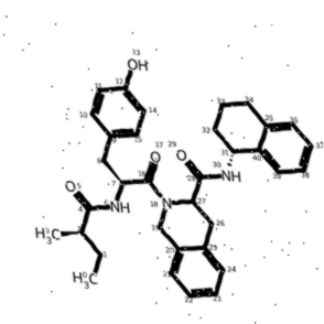 CC[C@@H](C)C(=O)N[C@@H](Cc1ccc(O)cc1)C(=O)N1Cc2ccccc2CC1C(=O)N[C@@H]1CCCc2ccccc21